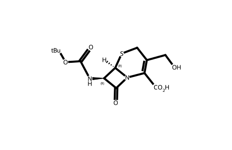 CC(C)(C)OC(=O)N[C@@H]1C(=O)N2C(C(=O)O)=C(CO)CS[C@H]12